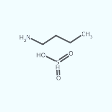 CCCCN.O=[SH](=O)O